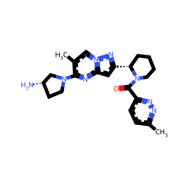 Cc1ccc(C(=O)N2CCCC[C@H]2c2cc3nc(N4CC[C@H](N)C4)c(C)cn3n2)nn1